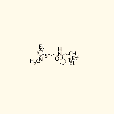 C=Nc1ccc(CC)cc1SCCCC(=O)NC(CC(=C)CN(CC)CC)C1CCCCC1